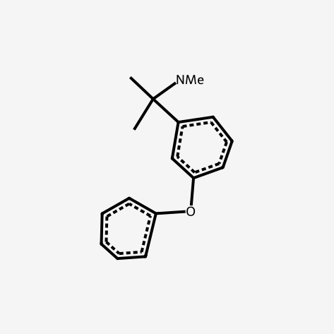 CNC(C)(C)c1cccc(Oc2ccccc2)c1